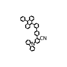 N#Cc1ccc(-n2c3ccccc3c3ccccc32)cc1-c1ccc(-c2cccc(-c3c4ccccc4c(-c4ccccc4)c4ccccc34)c2)cc1